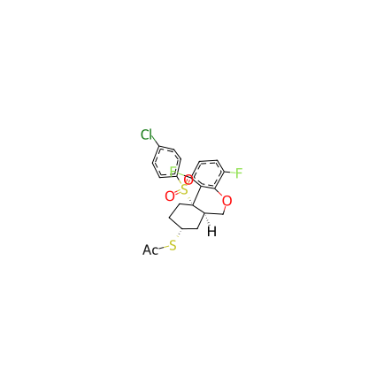 CC(=O)S[C@@H]1CC[C@@]2(S(=O)(=O)c3ccc(Cl)cc3)c3c(F)ccc(F)c3OC[C@H]2C1